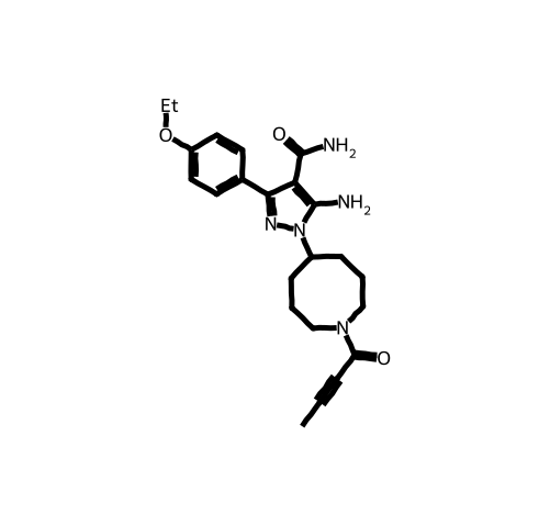 CC#CC(=O)N1CCCC(n2nc(-c3ccc(OCC)cc3)c(C(N)=O)c2N)CCC1